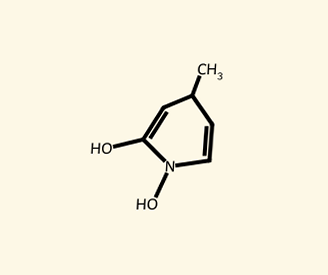 CC1C=CN(O)C(O)=C1